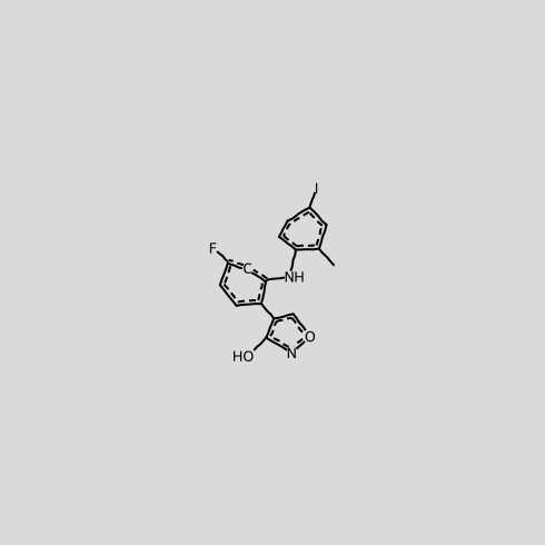 Cc1cc(I)ccc1Nc1cc(F)ccc1-c1conc1O